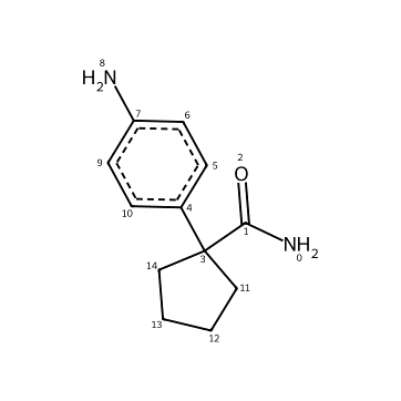 NC(=O)C1(c2ccc(N)cc2)CCCC1